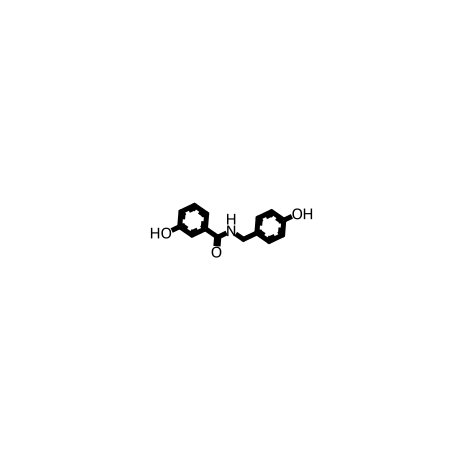 O=C(NCc1ccc(O)cc1)c1cccc(O)c1